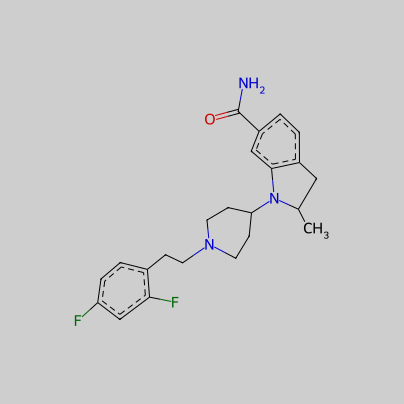 CC1Cc2ccc(C(N)=O)cc2N1C1CCN(CCc2ccc(F)cc2F)CC1